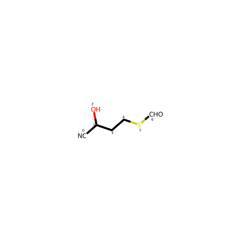 N#CC(O)CCSC=O